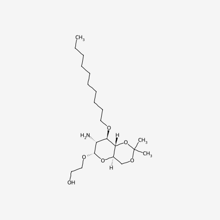 CCCCCCCCCCO[C@@H]1[C@@H](N)[C@@H](OCCO)O[C@@H]2COC(C)(C)O[C@@H]12